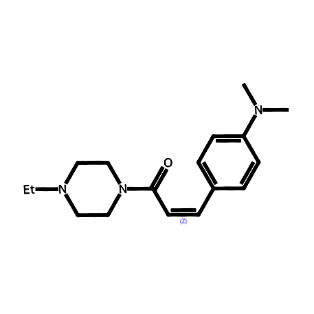 CCN1CCN(C(=O)/C=C\c2ccc(N(C)C)cc2)CC1